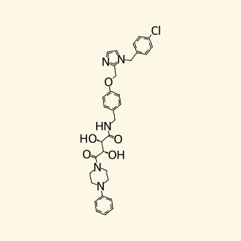 O=C(NCc1ccc(OCc2nccn2Cc2ccc(Cl)cc2)cc1)[C@H](O)[C@@H](O)C(=O)N1CCN(c2ccccc2)CC1